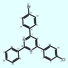 Clc1ccc(-c2cc(-c3ccc(Br)cc3)nc(-c3ccccc3)n2)cc1